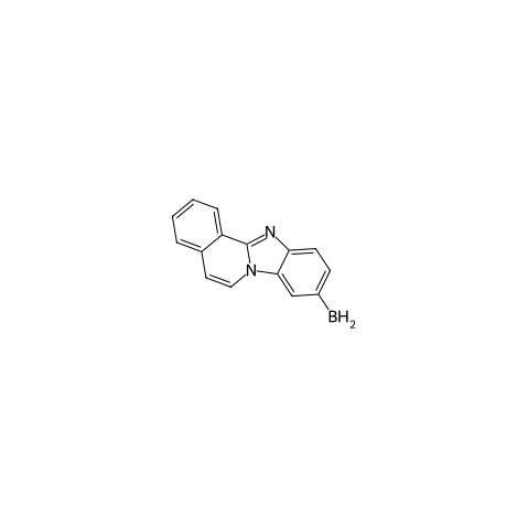 Bc1ccc2nc3c4ccccc4ccn3c2c1